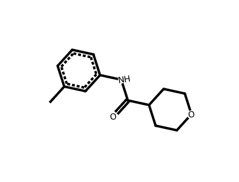 Cc1cccc(NC(=O)C2CCOCC2)c1